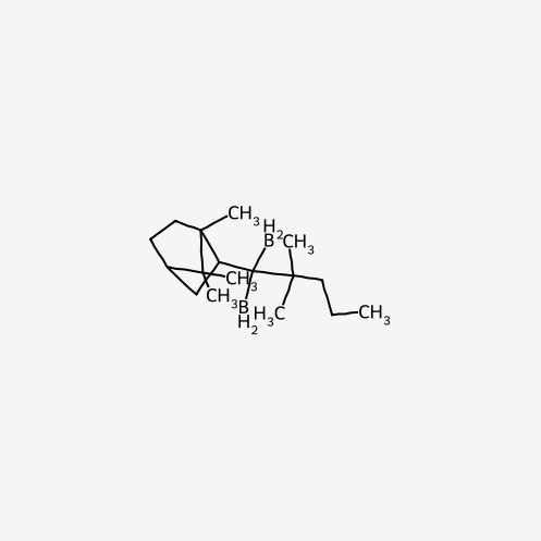 BC(B)(C1CC2CCC1(C)C2(C)C)C(C)(C)CCC